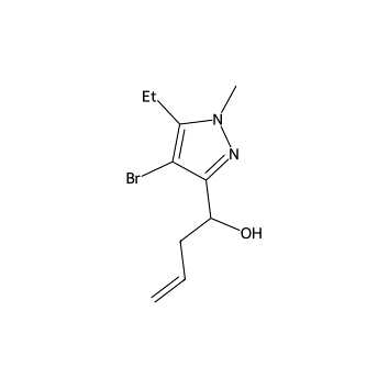 C=CCC(O)c1nn(C)c(CC)c1Br